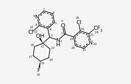 O=C(NC(c1cccnc1Cl)[C@]1(O)CC[C@@H](F)CC1)c1ccnc(C(F)(F)F)c1Cl